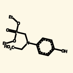 CCOP(=O)(CN(CC(=O)O)c1ccc(O)cc1)OCC